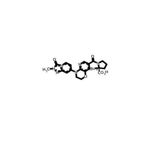 Cn1nc2cc(N3CCOc4cc(C(=O)N5CCC[C@]5(C(=O)O)C(C)(C)C)cnc43)ccn2c1=O